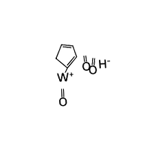 C=O.C=O.C=O.[H-].[W+][C]1=CC=CC1